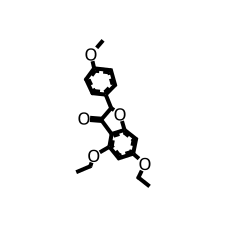 CCOc1cc(OCC)c2c(c1)OC(c1ccc(OC)cc1)C2=O